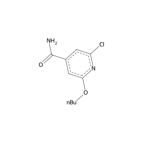 CCCCOc1cc(C(N)=O)cc(Cl)n1